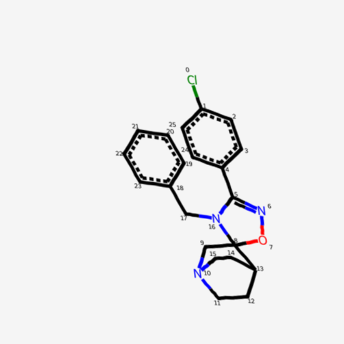 Clc1ccc(C2=NOC3(CN4CCC3CC4)N2Cc2ccccc2)cc1